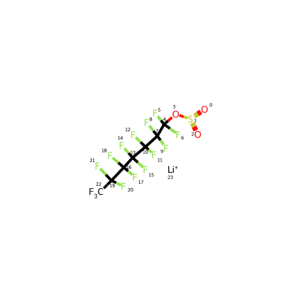 O=[S-](=O)OC(F)(F)C(F)(F)C(F)(F)C(F)(F)C(F)(F)C(F)(F)C(F)(F)F.[Li+]